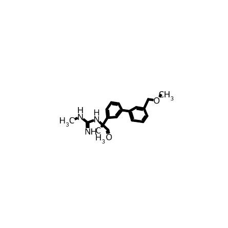 CNC(=N)NC(C)(C=O)c1cccc(-c2cccc(COC)c2)c1